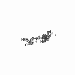 Cc1ncsc1-c1ccc(CNC(=O)[C@@H]2C[C@@H](O)CN2C(=O)C(NCCCCCCCNCCOc2ccc(C(=C(CCCl)c3ccccc3)c3ccc(O)cc3)cc2)C(C)(C)C)cc1